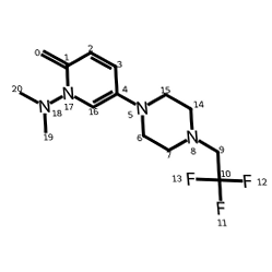 C=C1C=CC(N2CCN(CC(F)(F)F)CC2)=CN1N(C)C